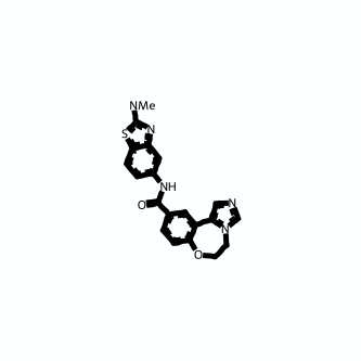 CNc1nc2cc(NC(=O)c3ccc4c(c3)-c3cncn3CCO4)ccc2s1